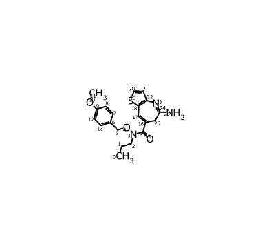 CCCN(OCc1ccc(OC)cc1)C(=O)C1=Cc2sccc2N=C(N)C1